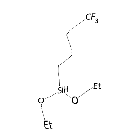 CCO[SiH](CCCC(F)(F)F)OCC